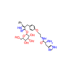 CC(C)c1[nH]nc(O[C@@H]2O[C@H](CO)[C@@H](O)[C@H](O)[C@H]2O)c1Cc1ccc(OCCCNC(=O)[C@@H](N)Cc2c[nH]cn2)cc1